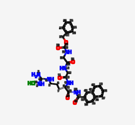 Cl.N=C(N)NCCC[C@H](NC(=O)CNC(=O)CNC(=O)OCc1ccccc1)C(=O)NC(=O)c1ccc2ccccc2c1